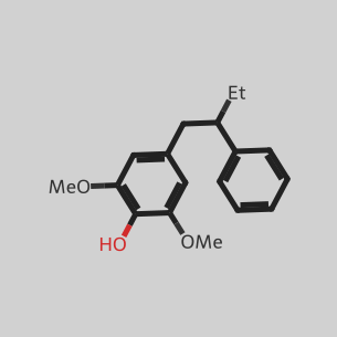 CCC(Cc1cc(OC)c(O)c(OC)c1)c1ccccc1